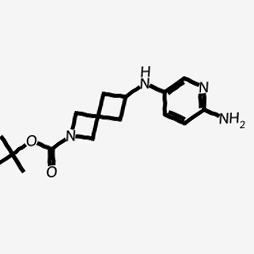 CC(C)(C)OC(=O)N1CC2(CC(Nc3ccc(N)nc3)C2)C1